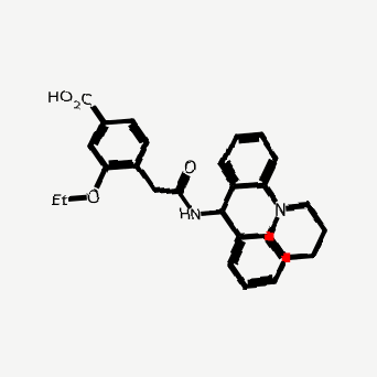 CCOc1cc(C(=O)O)ccc1CC(=O)NC(c1ccccc1)c1ccccc1N1CCCCC1